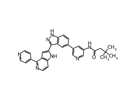 CC(C)(C)CC(=O)Nc1cncc(-c2ccc3[nH]nc(-c4cc5c(-c6ccncc6)nccc5[nH]4)c3c2)c1